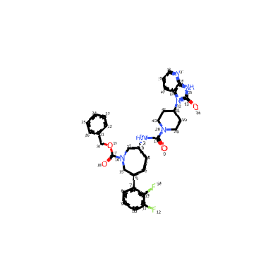 O=C(N[C@@H]1CC[C@@H](c2cccc(F)c2F)CN(C(=O)OCc2ccccc2)C1)N1CCC(n2c(=O)[nH]c3ncccc32)CC1